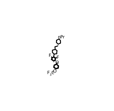 CCC[C@H]1CC[C@H](CCC2CCC(c3c(F)c[c]c(Oc4ccc(OC(F)(F)F)cc4)c3F)CC2)CC1